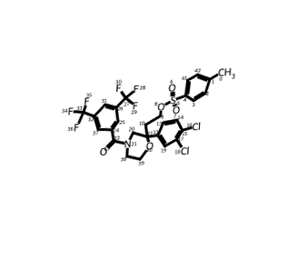 Cc1ccc(S(=O)(=O)OCCC2(c3ccc(Cl)c(Cl)c3)CN(C(=O)c3cc(C(F)(F)F)cc(C(F)(F)F)c3)CCO2)cc1